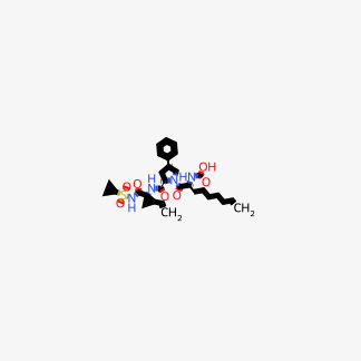 C=CCCCCC[C@H](NC(=O)O)C(=O)N1C[C@H](c2ccccc2)C[C@H]1C(=O)NC1(C(=O)NS(=O)(=O)C2CC2)CC1C=C